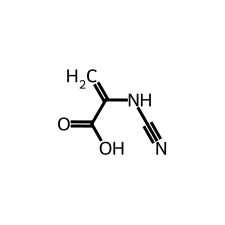 C=C(NC#N)C(=O)O